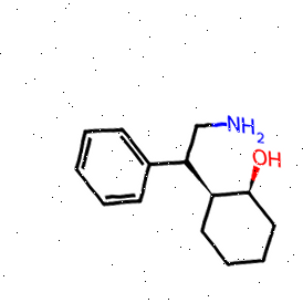 NCC(c1ccccc1)[C@@H]1CCCC[C@@H]1O